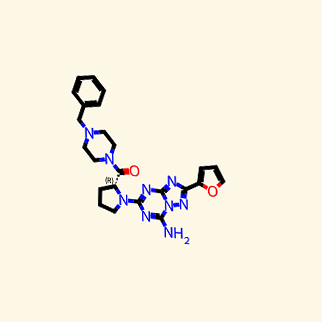 Nc1nc(N2CCC[C@@H]2C(=O)N2CCN(Cc3ccccc3)CC2)nc2nc(-c3ccco3)nn12